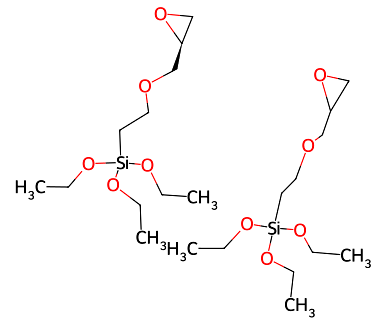 CCO[Si](CCOCC1CO1)(OCC)OCC.CCO[Si](CCOC[C@@H]1CO1)(OCC)OCC